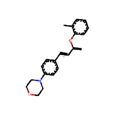 C=C(/C=C/c1ccc(N2CCOCC2)cc1)Oc1ccccc1C